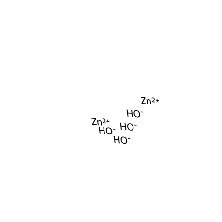 [OH-].[OH-].[OH-].[OH-].[Zn+2].[Zn+2]